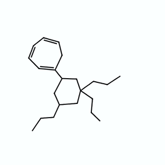 CCCC1CC(C2=CC=CC=CC2)CC(CCC)(CCC)C1